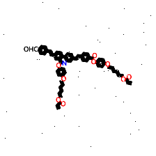 C=CC(=O)OCCCCCCOc1ccc(OC(=O)c2ccc(/C=C/c3ccc4c(c3)nc(Oc3ccc(OCCCCCCOC(=O)C=C)cc3)c3cc(/C=C/c5ccc(C=O)cc5)ccc34)cc2)cc1